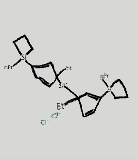 CCC[Si]1(C2=C[C](CC)([Zr+2][C]3(CC)C=CC([Si]4(CCC)CCC4)=C3)C=C2)CCC1.[Cl-].[Cl-]